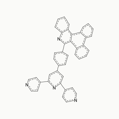 c1ccc2c(c1)nc(-c1ccc(-c3cc(-c4ccncc4)nc(-c4ccncc4)c3)cc1)c1c3ccccc3c3ccccc3c21